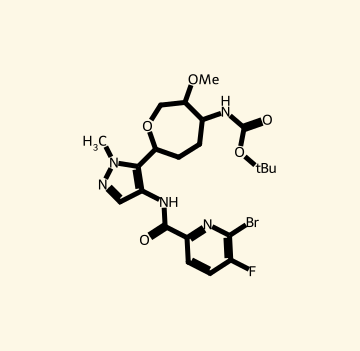 COC1COC(c2c(NC(=O)c3ccc(F)c(Br)n3)cnn2C)CCC1NC(=O)OC(C)(C)C